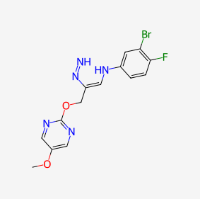 COc1cnc(OC/C(=C/Nc2ccc(F)c(Br)c2)N=N)nc1